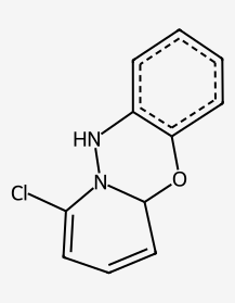 ClC1=CC=CC2Oc3ccccc3NN12